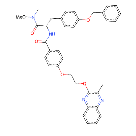 CON(C)C(=O)[C@H](Cc1ccc(OCc2ccccc2)cc1)NC(=O)c1ccc(OCCOc2nc3ccccc3nc2C)cc1